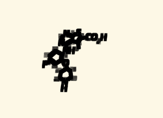 Cc1c(C(=O)O)sc2ncnc(Nc3ccc(F)cc3OC3CCNCC3)c12